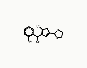 CCCc1ccccc1C(O)C1=C(C)CC(C2OCCO2)=C1